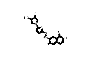 O=c1[nH]ccc2cc(F)c(NSc3ccc(N4CC(O)C(F)C4)s3)cc12